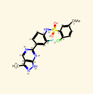 COc1ccc(Cl)c(S(=O)(=O)Nc2ccc(-c3ncc4c(C)n[nH]c4n3)cc2F)c1